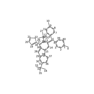 Cc1ccc(C(c2ccc(C)cc2)=c2cc3c(c(C4=CC=CC4)c2C(C)(C)C)=[C]c2cc(C(C)(C)C)ccc2-3)cc1